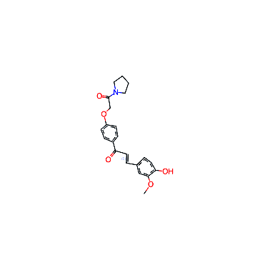 COc1cc(/C=C/C(=O)c2ccc(OCC(=O)N3CCCC3)cc2)ccc1O